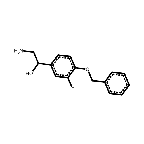 NCC(O)c1ccc(OCc2ccccc2)c(F)c1